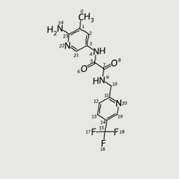 Cc1cc(NC(=O)C(=O)NCc2ccc(C(F)(F)F)cn2)cnc1N